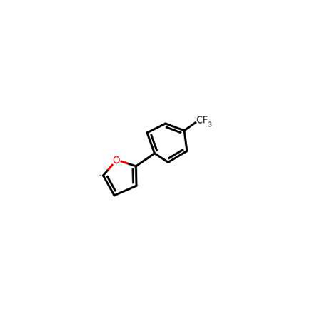 FC(F)(F)c1ccc(-c2cc[c]o2)cc1